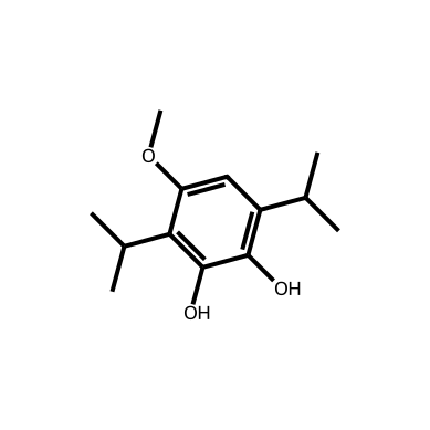 COc1cc(C(C)C)c(O)c(O)c1C(C)C